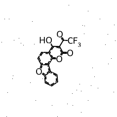 O=C(c1c(O)c2ccc3oc4ccccc4c3c2oc1=O)C(F)(F)F